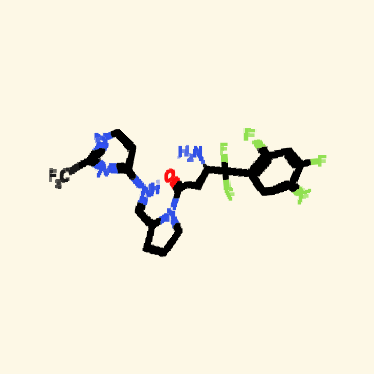 N[C@@H](CC(=O)N1CCCC1CNc1ccnc(C(F)(F)F)n1)C(F)(F)c1cc(F)c(F)cc1F